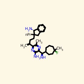 C=C(CCC1(CCC)Cc2ccccc2[C@H]1N)c1nc(N)c(C(=N)C2CCCC(C)(F)CC2)nc1C